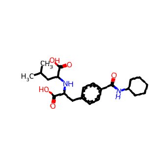 CC(C)CC(NC(Cc1ccc(C(=O)NC2CCCCC2)cc1)C(=O)O)C(=O)O